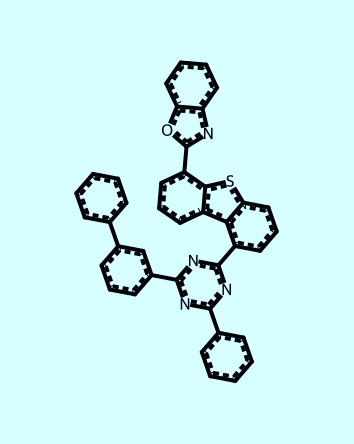 c1ccc(-c2cccc(-c3nc(-c4ccccc4)nc(-c4cccc5sc6c(-c7nc8ccccc8o7)cccc6c45)n3)c2)cc1